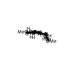 COC(=O)NCC(=O)Pc1ncc(C#Cc2cc3sc(-c4ccc5nc(PC(=O)CNC(=O)OC)[nH]c5c4)cc3s2)[nH]1